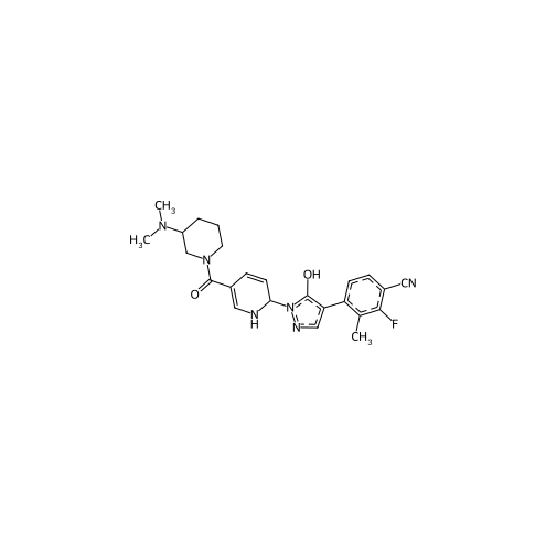 Cc1c(-c2cnn(C3C=CC(C(=O)N4CCCC(N(C)C)C4)=CN3)c2O)ccc(C#N)c1F